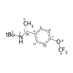 C[C@@H](NC(C)(C)C)c1ccc(OC(F)(F)F)cc1